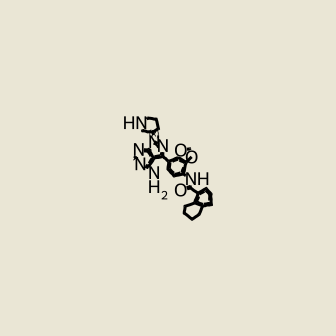 Nc1ncnc2c1c(-c1ccc(NC(=O)c3cccc4c3CCCC4)c3c1OCO3)nn2[C@@H]1CCCNC1